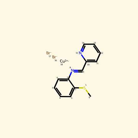 CSc1ccccc1N=Cc1ccccn1.[Br-].[Br-].[Cu+2]